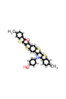 Cc1ccc2c(c1)sc1c2oc2c3cc4sc5c6sc7cc(C)ccc7c6n(-c6ccc(O)cc6)c5c4cc3sc21